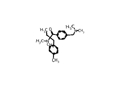 CCC(Cc1ccc(C)cc1)(C(=O)c1ccc(CN(C)C)cc1)N(C)C